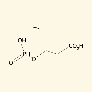 O=C(O)CCO[PH](=O)O.[Th]